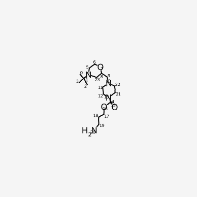 CC(C)(C)N1CCOC(CN2CCN(C(=O)OCCCN)CC2)C1